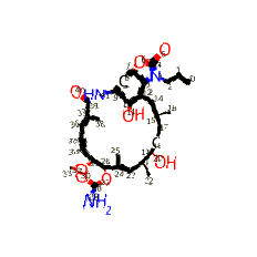 C=CCn1c(=O)oc2cc3c(O)c(c21)C[C@@H](C)CC[C@H](O)[C@@H](C)/C=C(\C)[C@H](OC(N)=O)[C@@H](OC)/C=C\C=C(/C)C(=O)N3